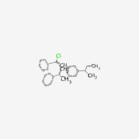 C=C(C)c1ccccc1.C=C(Cl)c1ccccc1.C=CC(C)c1ccccc1